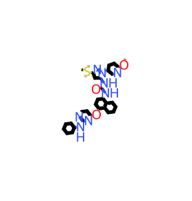 COc1ccc(-n2nc(S(C)(C)C)cc2NC(=O)Nc2ccc(Oc3ccnc(Nc4ccccc4)n3)c3ccccc23)cn1